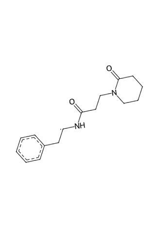 O=C(CCN1CCCCC1=O)N[CH]Cc1ccccc1